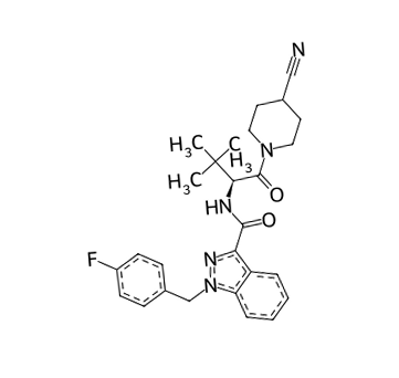 CC(C)(C)[C@H](NC(=O)c1nn(Cc2ccc(F)cc2)c2ccccc12)C(=O)N1CCC(C#N)CC1